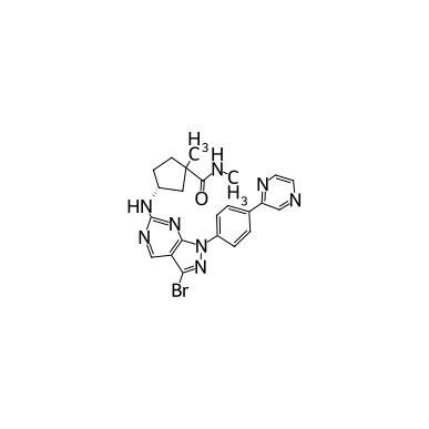 CNC(=O)C1(C)CC[C@@H](Nc2ncc3c(Br)nn(-c4ccc(-c5cnccn5)cc4)c3n2)C1